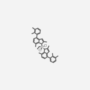 C[CH2][Zr]([Cl])([Cl])([CH]1C(C)=Cc2c(-c3cccc(C)c3C)ccc(C)c21)[CH]1C(C)=Cc2c(-c3cccc(C)c3C)ccc(C)c21